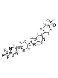 CS(=O)(=O)N1CC=C(c2cc3c(cn2)O[C@@H](C2CCN(c4cnc(C(F)(F)F)cn4)CC2)C3)CC1